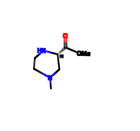 COC(=O)[C@@H]1CN(C)CCN1